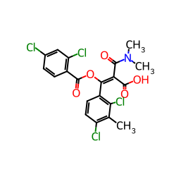 Cc1c(Cl)ccc(C(OC(=O)c2ccc(Cl)cc2Cl)=C(C(=O)O)C(=O)N(C)C)c1Cl